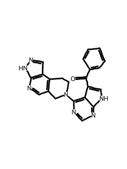 O=C(c1ccccc1)c1c[nH]c2ncnc(N3CCc4c(cnc5[nH]ncc45)C3)c12